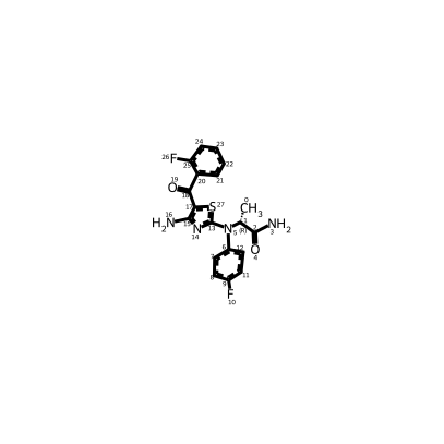 C[C@H](C(N)=O)N(c1ccc(F)cc1)c1nc(N)c(C(=O)c2ccccc2F)s1